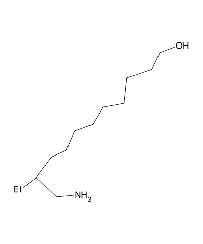 CCC(CN)CCCCCCCCCO